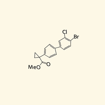 COC(=O)C1(c2ccc(-c3ccc(Br)c(Cl)c3)cc2)CC1